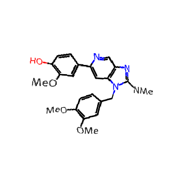 CNc1nc2cnc(-c3ccc(O)c(OC)c3)cc2n1Cc1ccc(OC)c(OC)c1